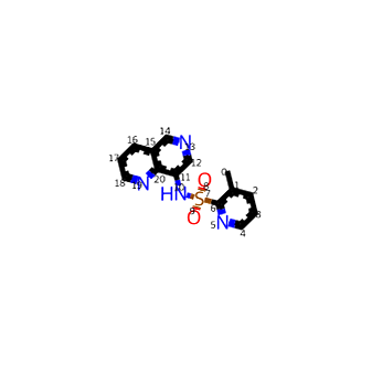 Cc1cccnc1S(=O)(=O)Nc1cncc2cccnc12